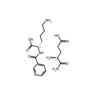 NC(=O)[C@@H](N)CCC(=O)O.NCCCC[C@H](NC(=O)c1cccnc1)C(=O)O